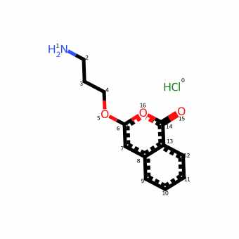 Cl.NCCCOc1cc2ccccc2c(=O)o1